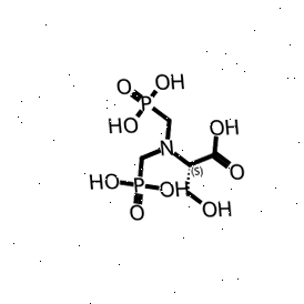 O=C(O)[C@H](CO)N(CP(=O)(O)O)CP(=O)(O)O